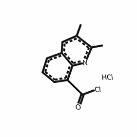 Cc1cc2cccc(C(=O)Cl)c2nc1C.Cl